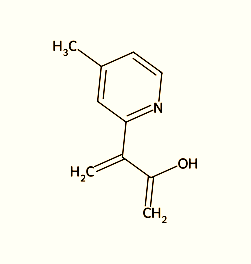 C=C(O)C(=C)c1cc(C)ccn1